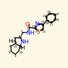 O=C(NC[C@@H]1C[C@@H]2CCCC[C@@H]2N1)c1nc(-c2ccccc2)cs1